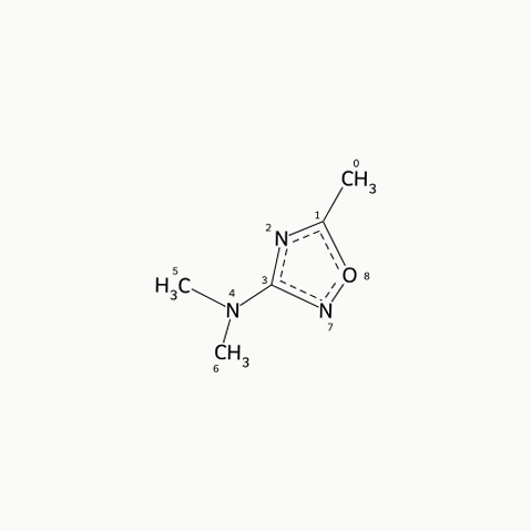 Cc1nc(N(C)C)no1